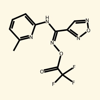 Cc1cccc(NC(=NOC(=O)C(F)(F)F)c2cnon2)n1